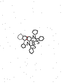 c1ccc(N2c3cccc4c3B(c3sc5ccccc5c32)c2sc3ccccc3c2N4c2ccccc2-c2cccc3c2CCCC3)cc1